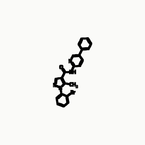 Cc1c(C(=O)Nc2ccc(-c3ccccc3)cn2)cnn1-c1ccccc1Br